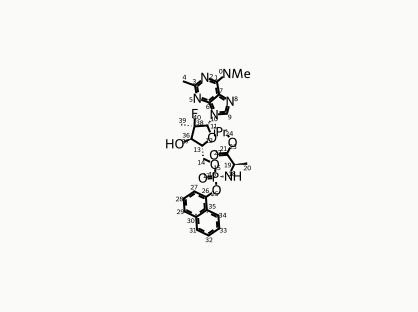 CNc1nc(C)nc2c1ncn2[C@@H]1O[C@H](CO[P@@](=O)(N[C@H](C)C(=O)OC(C)C)Oc2cccc3ccccc23)[C@@H](O)[C@@]1(C)F